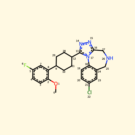 COc1ccc(F)cc1C1CCC(c2nnc3n2-c2ccc(Cl)cc2CNC3)CC1